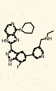 CCNCc1cncc(-c2cc(F)c3[nH]nc(-c4nc5c(N6CCCCC6)nccc5[nH]4)c3c2)c1